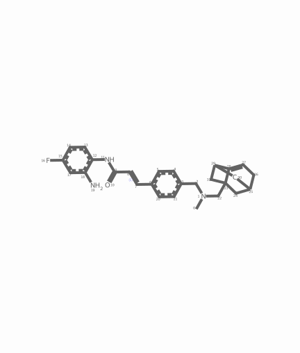 CN(Cc1ccc(/C=C/C(=O)Nc2ccc(F)cc2N)cc1)CC12CC3CC=C1C(C3)C2